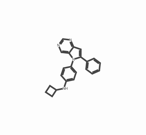 c1ccc(-c2cc3ncncc3n2-c2ccc(NC3CCC3)cc2)cc1